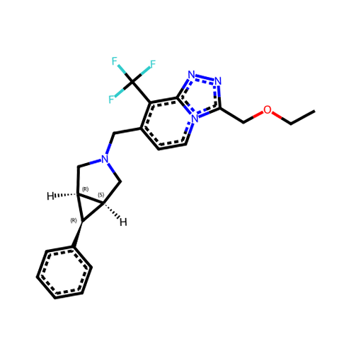 CCOCc1nnc2c(C(F)(F)F)c(CN3C[C@@H]4[C@H](C3)[C@@H]4c3ccccc3)ccn12